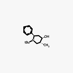 C[C@@H]1CN(C(C)(C)C)[C@@H](c2ccccc2)C[C@@H]1O